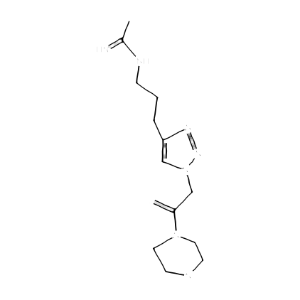 CC(=N)NCCCc1cn(CC(=O)N2CCNCC2)nn1